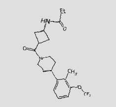 CCC(=O)NC1CC(C(=O)N2CCC(c3cccc(OC(F)(F)F)c3C)CC2)C1